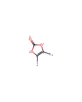 O=c1oc(I)c(I)o1